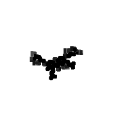 CCN(CC)CC(O)COc1cc2oc3cc(OCC(O)CN(CC)CC)c(CC=C(C)C)c(O)c3c(=O)c2c(CC=C(C)C)c1C